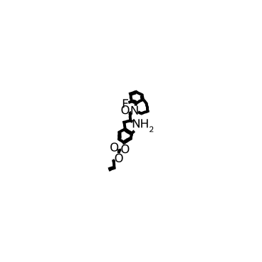 C=CCOC(=O)Oc1ccc(CC(N)C(=O)N2CCCc3cccc(F)c32)c(C)c1